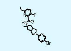 CCc1ccc(F)c(C(=O)NC2(C)CC3CN(c4ccc(Br)cn4)CC3C2)n1